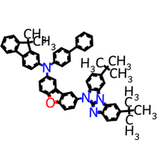 CC(C)(C)c1ccc2nc3n(-c4ccc5oc6ccc(N(c7ccc(-c8ccccc8)cc7)c7ccc8c(c7)C(C)(C)c7ccccc7-8)cc6c5c4)c4ccc(C(C)(C)C)cc4n3c2c1